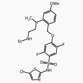 CCNCCN(C)c1cc(OC)ccc1COc1cc(F)c(S(=O)(=O)Nc2ncc(Cl)s2)cc1F